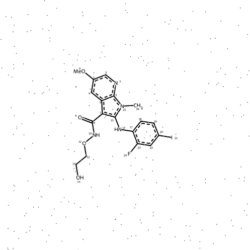 COc1cnc2c(c1)c(C(=O)NOCCO)c(Nc1ccc(I)cc1F)n2C